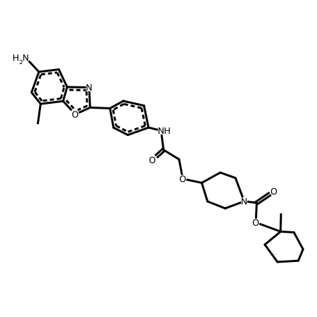 Cc1cc(N)cc2nc(-c3ccc(NC(=O)COC4CCN(C(=O)OC5(C)CCCCC5)CC4)cc3)oc12